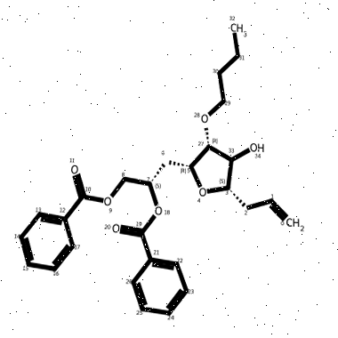 C=CC[C@@H]1O[C@H](C[C@@H](COC(=O)c2ccccc2)OC(=O)c2ccccc2)[C@H](OCCCC)C1O